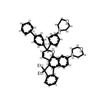 CCC1(CC)c2ccccc2-c2c1c1c(c3cc(N4CCOCC4)ccc23)OC(c2ccc(-c3ccccc3)cc2)(c2ccc(N3CCOCC3)cc2)C=C1